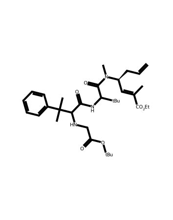 C=CC[C@@H](/C=C(\C)C(=O)OCC)N(C)C(=O)C(NC(=O)C(NCC(=O)OC(C)(C)C)C(C)(C)c1ccccc1)C(C)(C)C